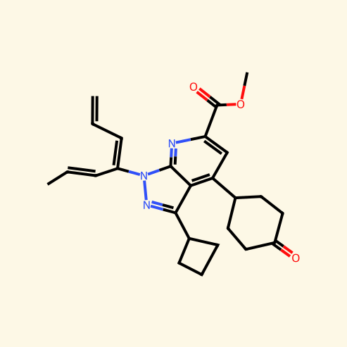 C=CC=C(C=CC)n1nc(C2CCC2)c2c(C3CCC(=O)CC3)cc(C(=O)OC)nc21